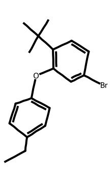 CCc1ccc(Oc2cc(Br)ccc2C(C)(C)C)cc1